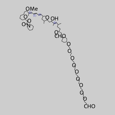 COC(CC1CCCC(C(=O)C(=O)N2CCCCC2)O1)/C(C)=C/C=C/C=C/C(C)CC(C)C(=O)CC(O)/C(C)=C/C(C)CCC(CCC1CCC(OCCOCCOCCOCCOCCOCCOCCOCCOCCC=O)CC1)OC=O